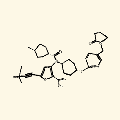 CC(C)(C)C#Cc1cc(N(C(=O)[C@H]2CC[C@H](C)CC2)[C@H]2CC[C@H](Oc3ccc(CN4CCCC4=O)cn3)CC2)c(C(=O)O)s1